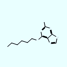 CCCCCCNc1nc(N)nc2[nH]cnc12